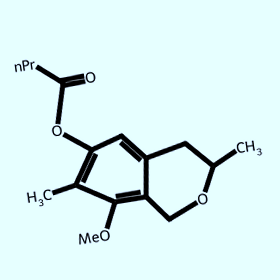 CCCC(=O)Oc1cc2c(c(OC)c1C)COC(C)C2